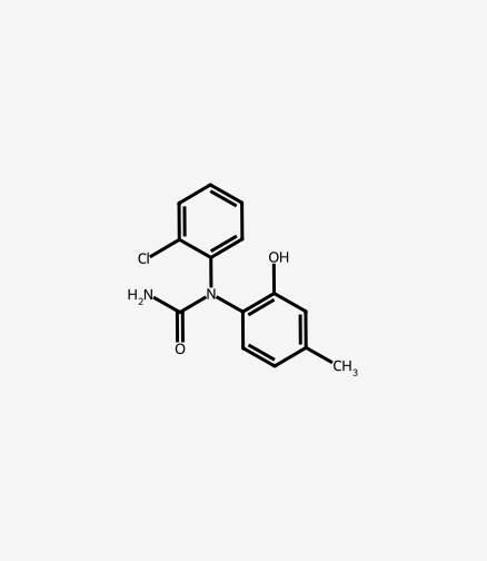 Cc1ccc(N(C(N)=O)c2ccccc2Cl)c(O)c1